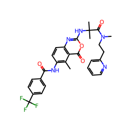 Cc1c(NC(=O)c2ccc(C(F)(F)F)cc2)ccc2nc(NC(C)(C)C(=O)N(C)CCc3ccccn3)oc(=O)c12